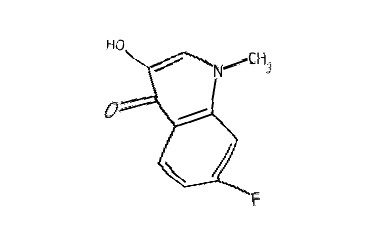 Cn1cc(O)c(=O)c2ccc(F)cc21